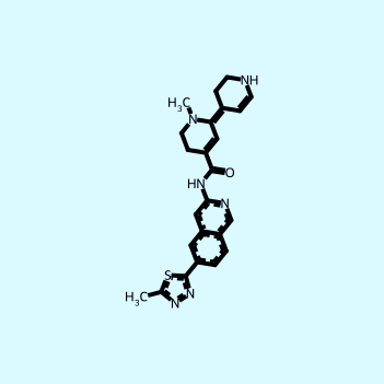 Cc1nnc(-c2ccc3cnc(NC(=O)C4=CC(=C5C=CNCC5)N(C)CC4)cc3c2)s1